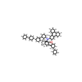 CC1(C)c2ccc(-c3ccc(-c4ccccc4)cc3)cc2-c2cccc(N(c3ccc4c5ccccc5c5ccccc5c4c3)c3cccc4c3oc3ccc(-c5ccccc5)cc34)c21